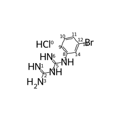 Cl.N=C(N)NC(=N)Nc1cccc(Br)c1